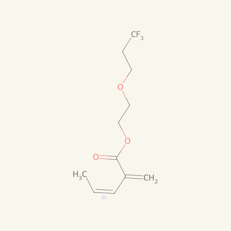 C=C(/C=C\C)C(=O)OCCOCCC(F)(F)F